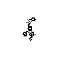 C[Si](C)(C)CCN1C(=O)CN(c2ccc(CCNS(=O)(=O)CC3CCCCC3)cc2OCc2ccccc2)S1(=O)=O